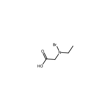 CCN(Br)CC(=O)O